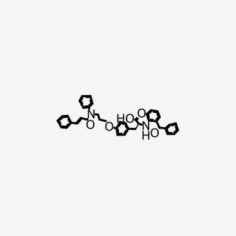 O=C(c1ccccc1)c1ccccc1N[C@@H](Cc1ccc(OCCCN(C(=O)/C=C/c2ccccc2)c2ccccc2)cc1)C(=O)O